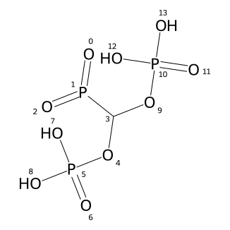 O=P(=O)C(OP(=O)(O)O)OP(=O)(O)O